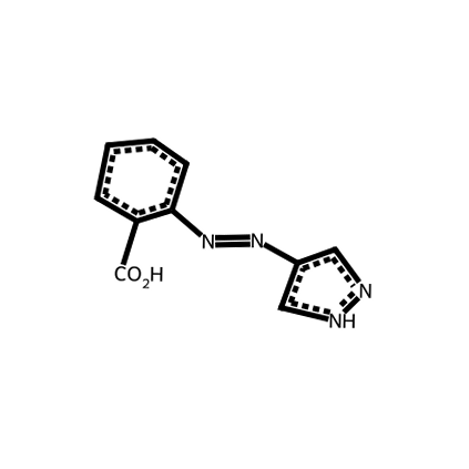 O=C(O)c1ccccc1N=Nc1cn[nH]c1